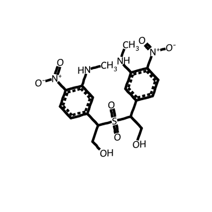 CNc1cc(C(CO)S(=O)(=O)C(CO)c2ccc([N+](=O)[O-])c(NC)c2)ccc1[N+](=O)[O-]